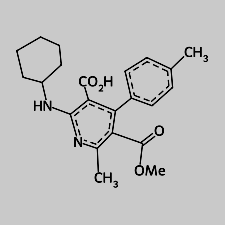 COC(=O)c1c(C)nc(NC2CCCCC2)c(C(=O)O)c1-c1ccc(C)cc1